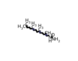 CC(C)=CCC/C(C)=C/CC/C(C)=C/CC/C(C)=C/CNC(N)=O